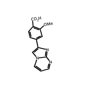 COc1cc(-c2cn3cccnc3n2)ccc1C(=O)O